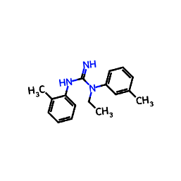 CCN(C(=N)Nc1ccccc1C)c1cccc(C)c1